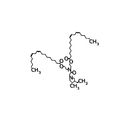 C=C[C@@H]1CN(CC(=O)N(CCOC(=O)CCCCCCC/C=C\C/C=C\CCCCC)CCOC(=O)CCCCCCC/C=C\C/C=C\CCCCC)C[C@H]1C